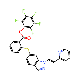 O=C(Oc1c(F)c(F)c(F)c(F)c1F)c1ccccc1Sc1ccc2cnn(C=Cc3ccccn3)c2c1